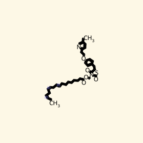 CC/C=C\C/C=C\C/C=C/CCCCCCCC(=O)OCN1C(=O)SC(Cc2ccc(OCCc3ccc(CC)cn3)cc2)C1=O